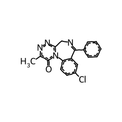 Cc1nnc2n(c1=O)-c1ccc(Cl)cc1C(c1ccccc1)=NC2